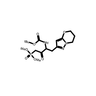 COP(=O)(CC(=O)C(Cc1cc2n(n1)CCCO2)NC(=O)OC(C)(C)C)OC